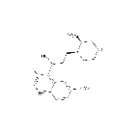 COc1ccc2ncc(F)c(C(O)CC[C@@H]3CCNC[C@@H]3C(=O)O)c2c1